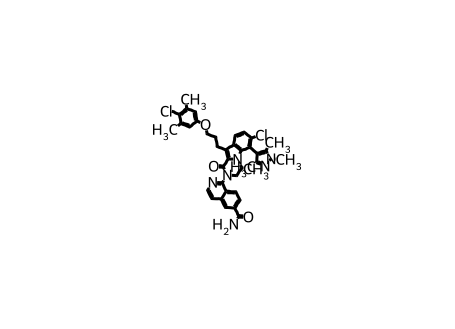 Cc1cc(OCCCc2c3n(c4c(-c5c(C)nn(C)c5C)c(Cl)ccc24)C(C)CN(c2nccc4cc(C(N)=O)ccc24)C3=O)cc(C)c1Cl